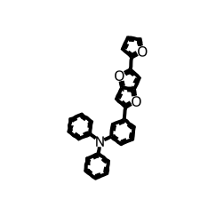 c1ccc(N(c2ccccc2)c2cccc(-c3cc4oc(-c5ccco5)cc4o3)c2)cc1